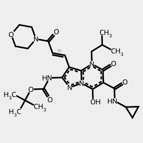 CC(C)Cn1c(=O)c(C(=O)NC2CC2)c(O)n2nc(NC(=O)OC(C)(C)C)c(/C=C/C(=O)N3CCOCC3)c12